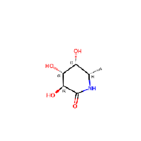 C[C@@H]1NC(=O)[C@@H](O)[C@H](O)[C@@H]1O